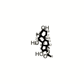 CC(=O)OC1=C(O)CC2C3C(CC[C@]12C)[C@@]1(C)CCC(O)=C[C@@H]1C[C@@H]3O